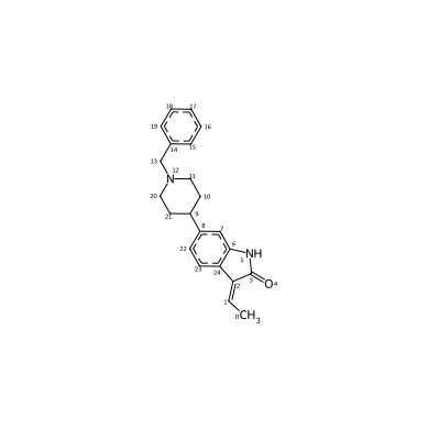 CC=C1C(=O)Nc2cc(C3CCN(Cc4ccccc4)CC3)ccc21